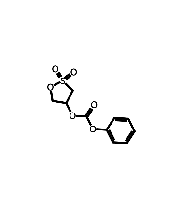 O=C(Oc1ccccc1)OC1COS(=O)(=O)C1